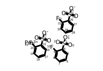 O=S(=O)([O-])c1ccccc1F.O=S(=O)([O-])c1ccccc1F.O=S(=O)([O-])c1ccccc1F.[Pm+3]